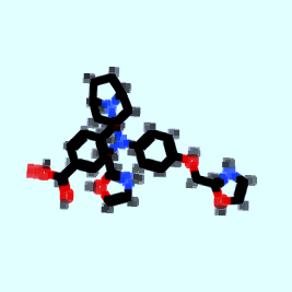 O=C(O)c1ccc(CN2C3CCC2CC(N(Cc2ncco2)c2ccc(OCc4ncco4)cc2)C3)cc1